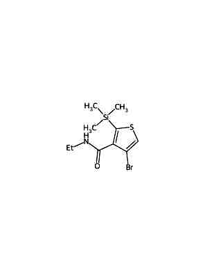 CCNC(=O)c1c(Br)csc1[Si](C)(C)C